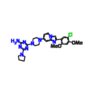 COc1cc(OC)c(-c2cn3ccc(N4CCN(c5nc(N)nc(N6CCCC6)n5)CC4)cc3n2)cc1Cl